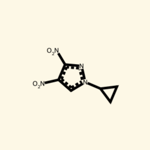 O=[N+]([O-])c1cn(C2CC2)nc1[N+](=O)[O-]